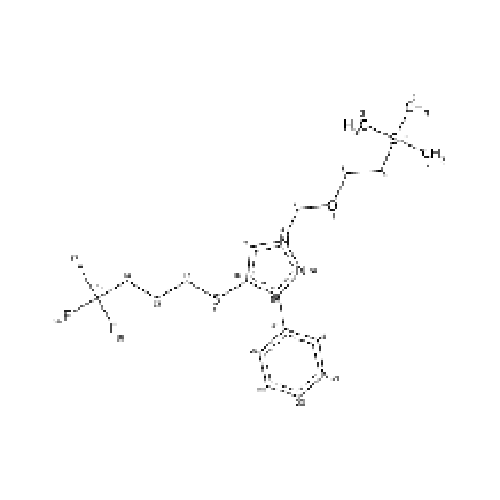 C[Si](C)(C)CCOCn1cc(SCCCC(F)(F)F)c(-c2cccnc2)n1